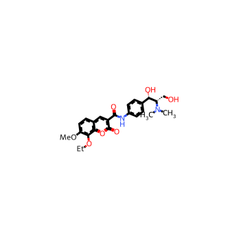 CCOc1c(OC)ccc2cc(C(=O)Nc3ccc([C@H](O)[C@H](CO)N(C)C)cc3)c(=O)oc12